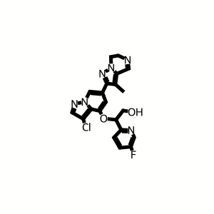 Cc1c(-c2cc(OC(CO)c3ccc(F)cn3)c3c(Cl)cnn3c2)nn2c1C=NCC2